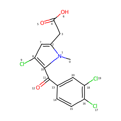 Cn1c(CC(=O)O)cc(Cl)c1C(=O)c1ccc(Cl)c(Cl)c1